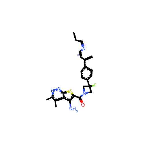 C=C(/C=C\N=C/CC)c1ccc(C2(F)CN(C(=O)c3sc4nnc(C)c(C)c4c3N)C2)cc1